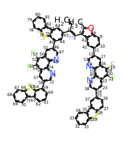 C=C/C(=C\c1c(C)oc2ccc(-c3cnc4c(c3)c(F)c(F)c3cc(-c5ccc6sc7ccccc7c6c5)cnc34)cc12)c1cc(-c2cnc3c(c2)c(F)c(F)c2cc(-c4cccc5c4sc4ccccc45)cnc23)c2sc3ccccc3c2c1